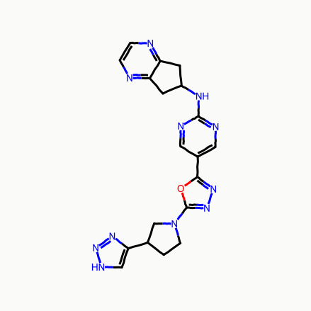 c1cnc2c(n1)CC(Nc1ncc(-c3nnc(N4CCC(c5c[nH]nn5)C4)o3)cn1)C2